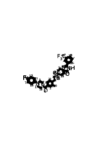 Cc1cc(C(=O)N2CCN(c3ccc(F)cc3)CC2)ccc1CCS(=O)(=O)N1CCC2(CC1)N=C(c1cccc(C(F)(F)F)c1)NC2=O